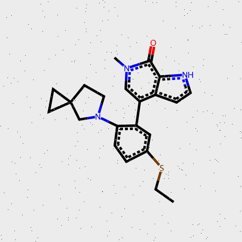 CCSc1ccc(N2CCC3(CC3)C2)c(-c2cn(C)c(=O)c3[nH]ccc23)c1